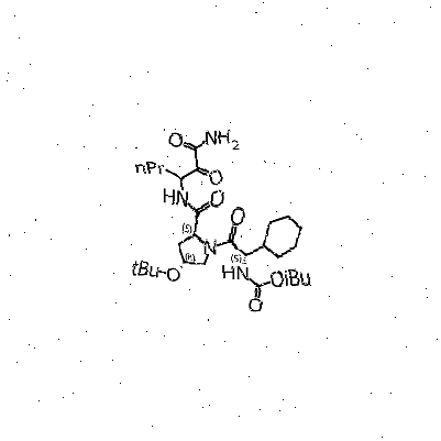 CCCC(NC(=O)[C@@H]1C[C@@H](OC(C)(C)C)CN1C(=O)[C@@H](NC(=O)OCC(C)C)C1CCCCC1)C(=O)C(N)=O